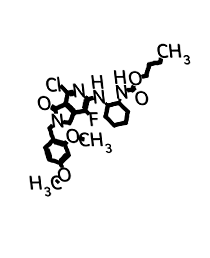 CCCCOC(=O)N[C@H]1CCCC[C@H]1Nc1nc(Cl)c2c(c1F)CN(Cc1ccc(OC)cc1OC)C2=O